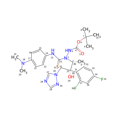 C[C@@H](N(NC(=O)OC(C)(C)C)C(=S)Nc1ccc(N(C)C)cc1)[C@](O)(Cn1cncn1)c1ccc(F)cc1F